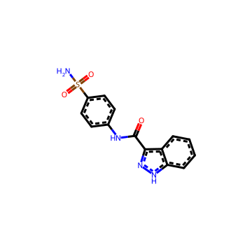 NS(=O)(=O)c1ccc(NC(=O)c2n[nH]c3ccccc23)cc1